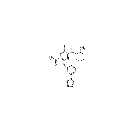 NC(=O)c1cc(F)c(NC2CCCCC2N)nc1Nc1cccc(-n2ccnn2)c1